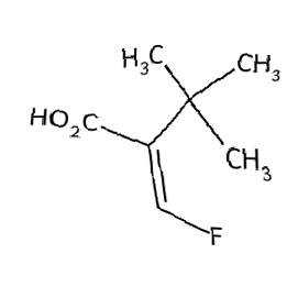 CC(C)(C)C(=CF)C(=O)O